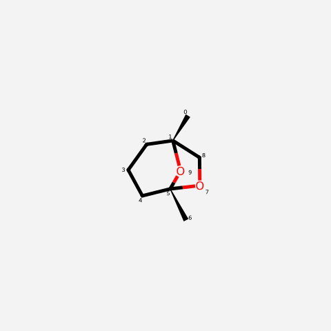 C[C@@]12CCC[C@@](C)(OC1)O2